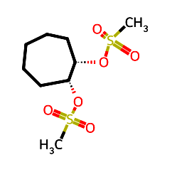 CS(=O)(=O)O[C@H]1CCCCC[C@H]1OS(C)(=O)=O